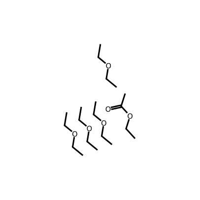 CCOC(C)=O.CCOCC.CCOCC.CCOCC.CCOCC